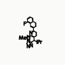 COc1nc(-c2ccc3cccc(F)c3c2)ccc1C(c1nnc[nH]1)C(C)C